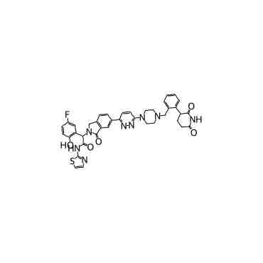 O=C1CCC(c2ccccc2CN2CCN(c3ccc(-c4ccc5c(c4)C(=O)N(C(C(=O)Nc4nccs4)c4cc(F)ccc4O)C5)nn3)CC2)C(=O)N1